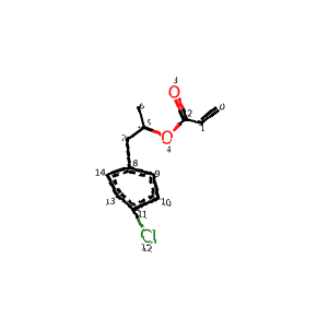 C=CC(=O)O[C](C)Cc1ccc(Cl)cc1